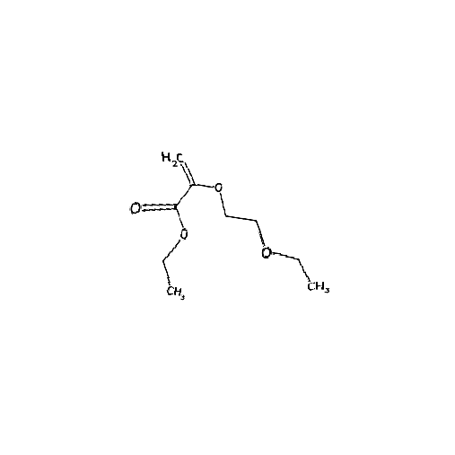 C=C(OCCOCC)C(=O)OCC